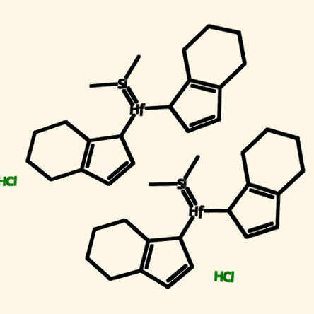 C[Si](C)=[Hf]([CH]1C=CC2=C1CCCC2)[CH]1C=CC2=C1CCCC2.C[Si](C)=[Hf]([CH]1C=CC2=C1CCCC2)[CH]1C=CC2=C1CCCC2.Cl.Cl